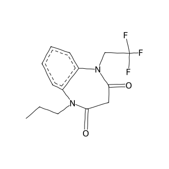 CCCN1C(=O)CC(=O)N(CC(F)(F)F)c2ccccc21